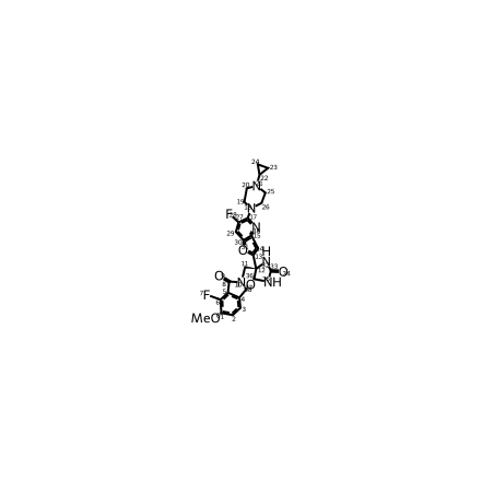 COc1ccc2c(c1F)C(=O)N(C[C@@]1(c3cc4nc(N5CCN(C6CC6)CC5)c(F)cc4o3)NC(=O)NC1=O)C2